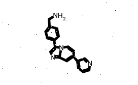 NCc1ccc(-c2cnc3cc(-c4cccnc4)ccn23)cc1